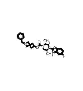 C[C@@H]1CN(c2nc3cc(F)ccc3s2)[C@@H](C)CN1C(=O)OC1CC2(C1)CN(Cc1ccccc1)C2